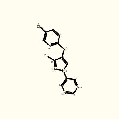 Clc1ccc(Sc2cn(-c3cncnc3)nc2I)nc1